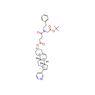 CC(C)(C)OC(=O)CN(CCc1ccccc1)C(=O)CCC(=O)O[C@H]1CC[C@@]2(C)C(=CC[C@@H]3[C@@H]2CC[C@]2(C)C(c4cccnc4)=CC[C@@H]32)C1